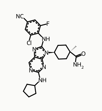 C[C@]1(C(N)=O)CC[C@@H](n2c(Nc3c(F)cc(C#N)cc3Cl)nc3cnc(NC4CCCC4)nc32)CC1